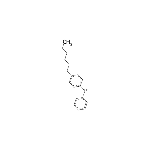 CCCCCCc1ccc([I+]c2ccccc2)cc1